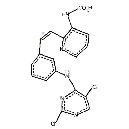 O=C(O)Nc1cccnc1/C=C\c1cccc(Nc2nc(Cl)ncc2Cl)c1